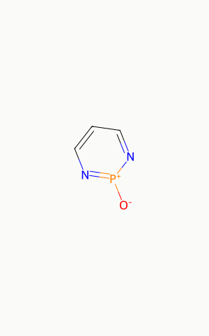 [O-][p+]1ncccn1